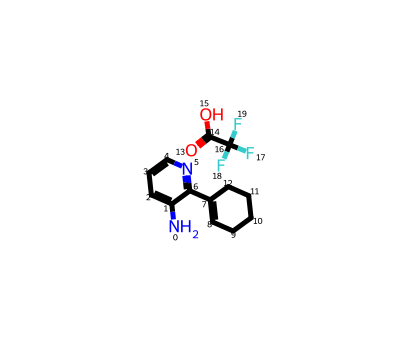 Nc1cccnc1C1=CCCCC1.O=C(O)C(F)(F)F